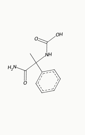 CC(NC(=O)O)(C(N)=O)c1ccccc1